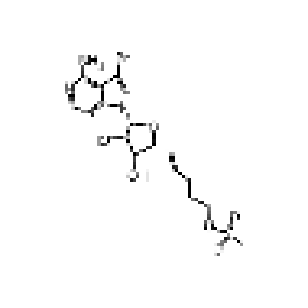 CS(=O)(=O)OCCC/C=C/[C@H]1O[C@@H](n2cc(Br)c3c(N)ncnc32)[C@H](O)[C@@H]1O